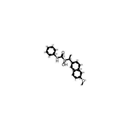 COc1ccc2cc(C(C)N(O)C(=O)Nc3ccccc3)ccc2c1